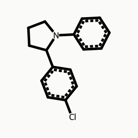 Clc1ccc(C2CCCN2c2ccccc2)cc1